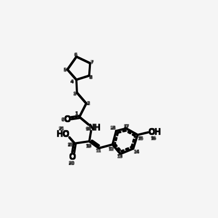 O=C(CCC1CCCC1)NC(=Cc1ccc(O)cc1)C(=O)O